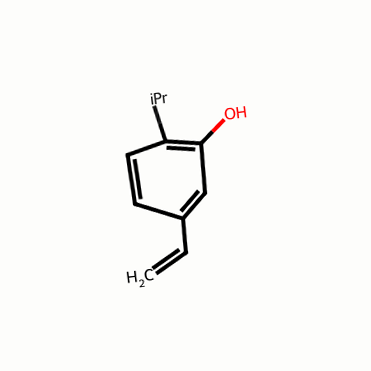 C=Cc1ccc(C(C)C)c(O)c1